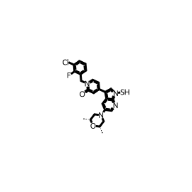 C[C@@H]1CN(c2cnc3c(c2)c(-c2ccn(Cc4cccc(Cl)c4F)c(=O)c2)cn3S)C[C@H](C)O1